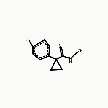 N#CNC(=O)C1(c2ccc(Br)cc2)CC1